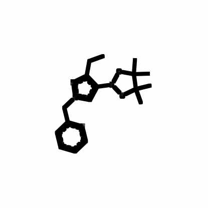 CCc1nn(Cc2ccccn2)cc1B1OC(C)(C)C(C)(C)O1